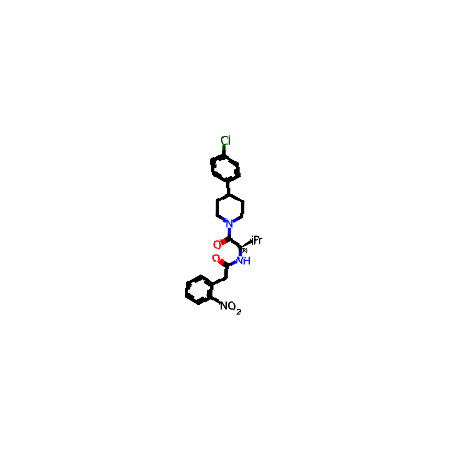 CC(C)[C@@H](NC(=O)Cc1ccccc1[N+](=O)[O-])C(=O)N1CCC(c2ccc(Cl)cc2)CC1